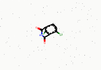 O=C1NC(=O)c2c(Cl)ccc1c2Cl